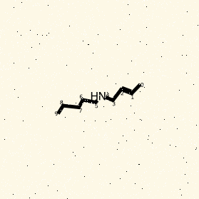 C/C=C/CNCCCCC